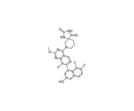 COc1nc(N2CCCC3(C2)NC(=O)NC3=O)c2cnc(-c3cc(O)cc4ccc(F)c(F)c34)c(F)c2n1